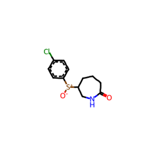 O=C1CCCC([S+]([O-])c2ccc(Cl)cc2)CN1